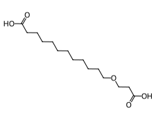 O=C(O)CCCCCCCCCCCOCCC(=O)O